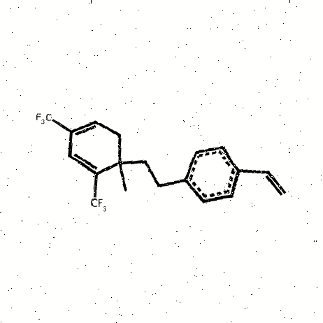 C=Cc1ccc(CCC2(C)CC=C(C(F)(F)F)C=C2C(F)(F)F)cc1